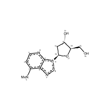 CNc1ccnc2c1ncn2[C@H]1C[C@H](O)[C@@H](CO)O1